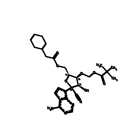 CC(C)(C)C(=O)OCO[C@H]1[C@@H](O)[C@](C#N)(c2ccc3c(N)ncnn23)O[C@@H]1COC(=O)CC1CCCCC1